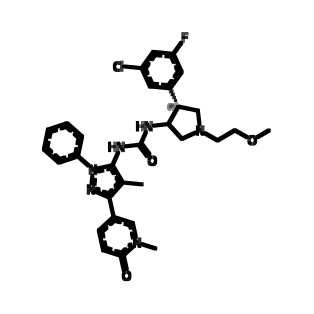 COCCN1CC(NC(=O)Nc2c(C)c(-c3ccc(=O)n(C)c3)nn2-c2ccccc2)[C@H](c2cc(F)cc(Cl)c2)C1